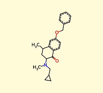 CC1CC(N(C)CC2CC2)C(=O)c2ccc(OCc3ccccc3)cc21